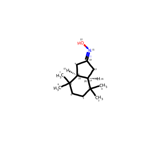 CC1(C)CCC(C)(C)[C@H]2C/C(=N\O)C[C@H]21